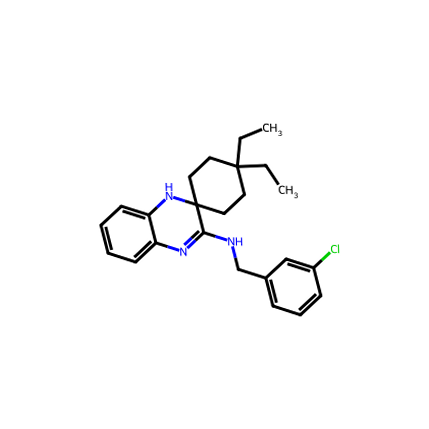 CCC1(CC)CCC2(CC1)Nc1ccccc1N=C2NCc1cccc(Cl)c1